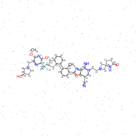 COc1nc(O[C@H]2CCc3c(-c4cccc(-c5nc6c(=N)n(CCN7CC8(CCC(=O)N8)C7)cc(C#N)c6o5)c4C)cccc32)c(C(F)(F)F)nc1CN1CC[C@@H](O)C1